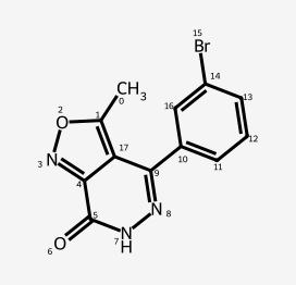 Cc1onc2c(=O)[nH]nc(-c3cccc(Br)c3)c12